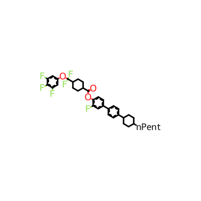 CCCCCC1CCC(c2ccc(-c3ccc(OC(=O)C4CCC(C(F)(F)Oc5cc(F)c(F)c(F)c5)CC4)c(F)c3)cc2)CC1